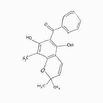 Cc1c(O)c(C(=O)c2ccccc2)c(O)c2c1OC(C)(C)C=C2